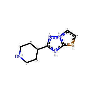 c1cn2nc(C3CCNCC3)nc2s1